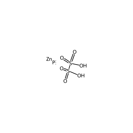 O=S(=O)(O)S(=O)(=O)O.[P].[Zn]